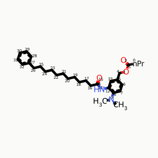 CCCC(=O)OCc1ccc(N(C)C)c(NC(=O)CCCCCCCCCCCc2ccccc2)c1